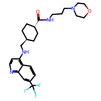 O=C(NCCCN1CCOCC1)[C@H]1CC[C@H](CNc2ccnc3cc(C(F)(F)F)ccc23)CC1